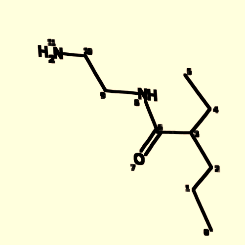 CCCC(CC)C(=O)NCCN